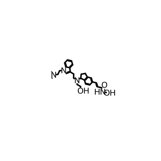 CN(C)CCn1cc(CCN(CCO)C2CCc3cc(/C=C/C(=O)NO)ccc32)c2ccccc21